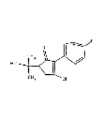 CC(C)(C)C1CC(O)=C(c2ccc(F)cc2)C1=O